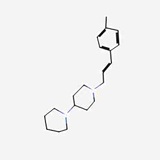 [CH2]c1ccc(C=CCN2CCC(N3CCCCC3)CC2)cc1